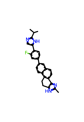 Cc1nc2c([nH]1)CCc1c-2ccc2cc(-c3ccc(-c4cnc(C(C)C)[nH]4)c(F)c3)ccc12